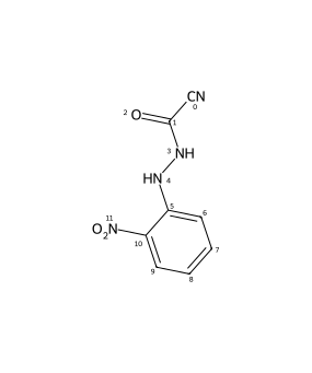 N#CC(=O)NNc1ccccc1[N+](=O)[O-]